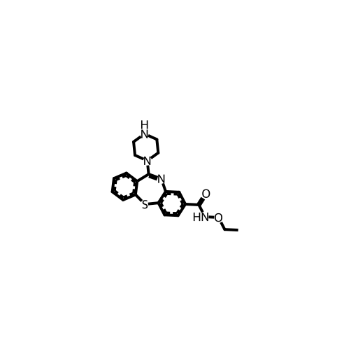 CCONC(=O)c1ccc2c(c1)N=C(N1CCNCC1)c1ccccc1S2